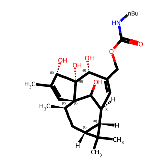 CCCCNC(=O)OCC1=C[C@@H]2C(O)[C@]3(C=C(C)[C@H](O)[C@@]3(O)[C@@H]1O)[C@H](C)C[C@@H]1[C@H]2C1(C)C